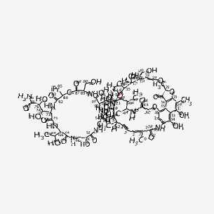 C/C1=C/C=C/[C@H](C)[C@H](O)[C@@H](C)[C@@H](O)[C@@H](C)C(C)[C@H](C)[C@@H](CO)/C=C/O[C@@]2(C)Oc3c(C)c(O)c4c(O)c(cc(OCC(=O)NC(C)C(C)C(=O)NCC5NC(=O)CNC(=O)C(O)CNC(=O)C(C(C)O)NC(=O)C(C(O)C(O)C(N)=O)NC(=O)C(C(C)C)CC(=O)C(CO)NC5=O)c4c3C2=O)NC1=O